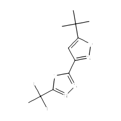 CC(C)(C)c1cc(-c2nnc(C(C)(I)I)s2)no1